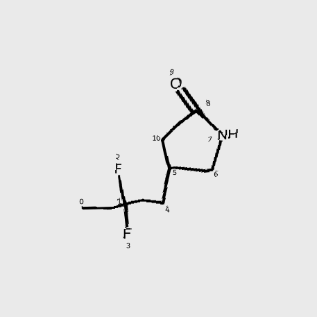 CC(F)(F)CC1CNC(=O)C1